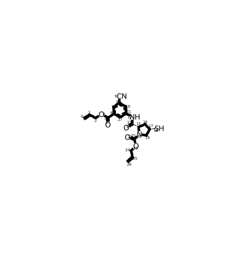 C=CCOC(=O)c1cc(C#N)cc(NC(=O)[C@@H]2C[C@H](S)CN2C(=O)OCC=C)c1